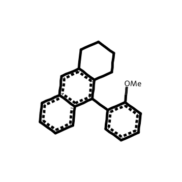 COc1ccccc1-c1c2c(cc3ccccc13)CCCC2